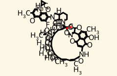 COc1c(N2C[C@@H]3CCCN(CCO/N=C4/c5c6c(C)c(O)c7c5C(=O)C=C(NC(=O)/C(C)=C\C=C\[C@H](C)[C@H](O)[C@@H](C)[C@@H](O)[C@@H](C)[C@H](OC(C)=O)[C@H](C)[C@@H](OC)/C=C/O[C@@]4(C)O6)C7=O)[C@@H]3C2)c(F)cc2c(=O)c(C)cn(C3CC3)c12